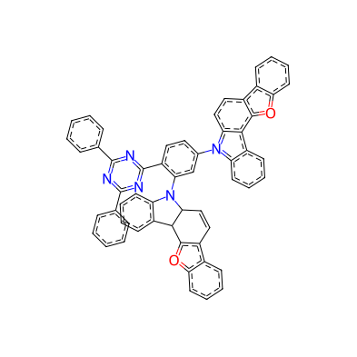 C1=CC2C(c3ccccc3N2c2cc(-n3c4ccccc4c4c5oc6ccccc6c5ccc43)ccc2-c2nc(-c3ccccc3)nc(-c3ccccc3)n2)c2oc3ccccc3c21